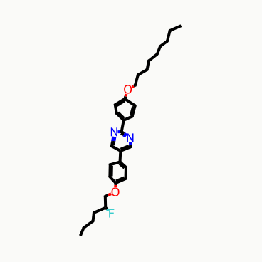 CCCCCCCCCOc1ccc(-c2ncc(-c3ccc(OCC(F)CCCC)cc3)cn2)cc1